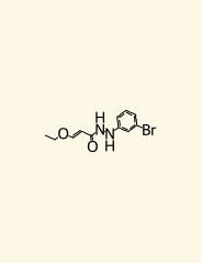 CCO/C=C/C(=O)NNc1cccc(Br)c1